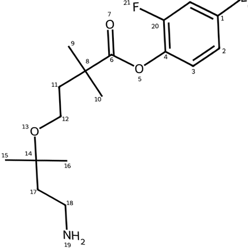 CCc1ccc(OC(=O)C(C)(C)CCOC(C)(C)CCN)c(F)c1